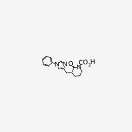 O=C(O)N1CCCC(Cc2cn(-c3ccccc3)cn2)C1=O